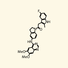 COc1cc2ncnc(Nc3ccc4c(c3)CCN4C(=O)Cc3c(C)[nH]c4ccc(F)cc34)c2cc1OC